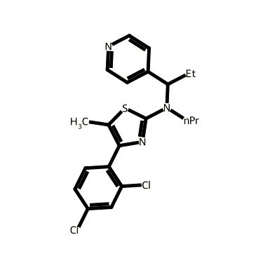 CCCN(c1nc(-c2ccc(Cl)cc2Cl)c(C)s1)C(CC)c1ccncc1